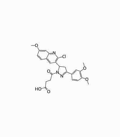 COc1ccc2cc(C3CC(c4ccc(OC)c(OC)c4)=NN3C(=O)CCC(=O)O)c(Cl)nc2c1